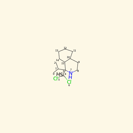 CC(C)C1([SiH](Cl)Cl)NCCC2CCCCC21